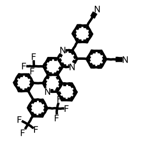 N#Cc1ccc(-c2nc3cc(C(F)(F)F)c4c(-c5ccccc5-c5cc(C(F)(F)F)cc(C(F)(F)F)c5)nc5ccccc5c4c3nc2-c2ccc(C#N)cc2)cc1